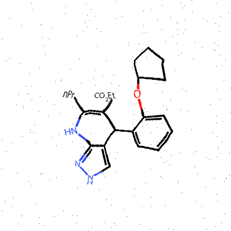 CCCC1=C(C(=O)OCC)C(c2ccccc2OC2CCCC2)c2c[nH]nc2N1